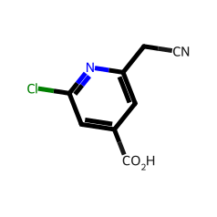 N#CCc1cc(C(=O)O)cc(Cl)n1